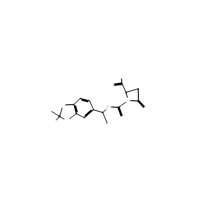 CC(NC(=O)N1C(=O)CC1C(=O)O)c1ccc2c(c1)OC(F)(F)O2